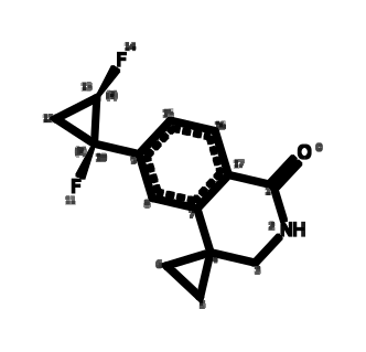 O=C1NCC2(CC2)c2cc([C@]3(F)C[C@H]3F)ccc21